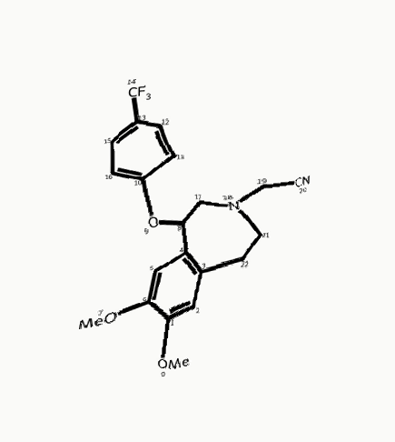 COc1cc2c(cc1OC)C(Oc1ccc(C(F)(F)F)cc1)CN(CC#N)CC2